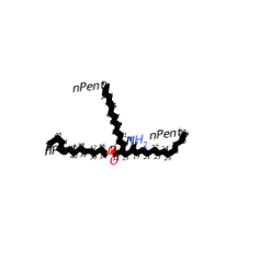 CCCCCC=CCC=CCCCCCCCCC(CC(CN)CCCCCC/C=C\C/C=C\CCCCC)C(=O)OCCCCCCCC/C=C\C/C=C\CCCCC